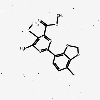 COC(=O)c1nc(-c2ccc(F)c3c2OCO3)nc(N)c1OC